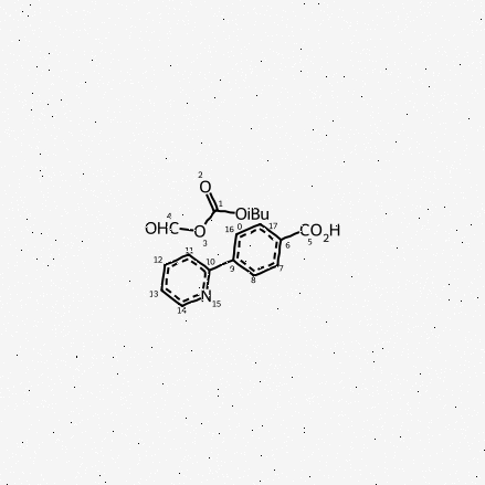 CC(C)COC(=O)OC=O.O=C(O)c1ccc(-c2ccccn2)cc1